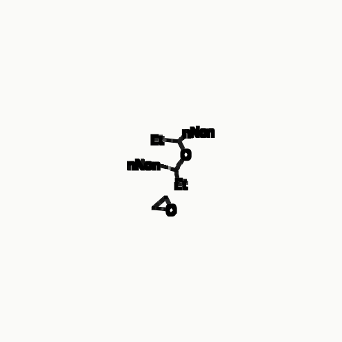 C1CO1.CCCCCCCCCC(CC)OC(CC)CCCCCCCCC